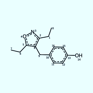 CCc1noc(CC)c1Cc1ccc(O)cc1